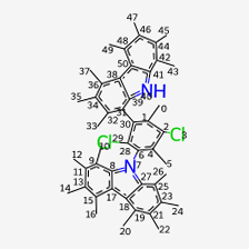 Cc1c(Cl)c(C)c(-n2c3c(C)c(C)c(C)c(C)c3c3c(C)c(C)c(C)c(C)c32)c(Cl)c1-c1c(C)c(C)c(C)c2c1[nH]c1c(C)c(C)c(C)c(C)c12